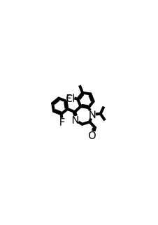 Cc1ccc2c(c1Cl)C(c1c(F)cccc1F)=NCC(C=O)N2C(C)C